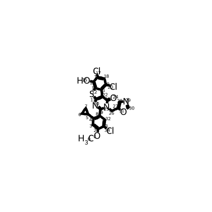 COc1cc(C2CC2)c(-c2nc3sc4c(O)c(Cl)cc(Cl)c4c3c(=O)n2Cc2cnco2)cc1Cl